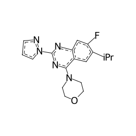 CC(C)c1cc2c(N3CCOCC3)nc(-n3cccn3)nc2cc1F